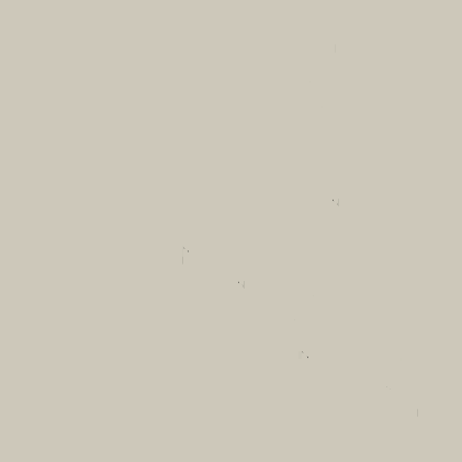 N#Cc1cc(NCc2cc(F)c(F)cc2-c2ccc(C(=O)NCCC(=O)O)nc2)ccc1-c1ccc(Cl)cc1Cl